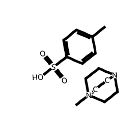 C[N+]12CCN(CC1)CC2.Cc1ccc(S(=O)(=O)O)cc1